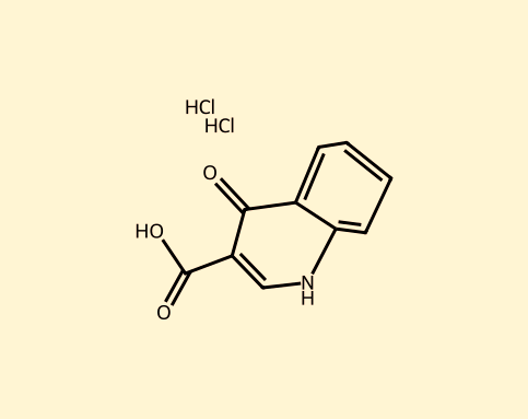 Cl.Cl.O=C(O)c1c[nH]c2ccccc2c1=O